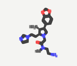 CCCCN(CCN)C(=O)CN1C[C@H](c2ccc3c(c2)OCO3)[C@@H](C(=O)O)[C@@H]1CCn1ccnc1